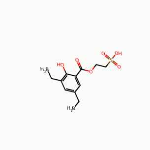 BCc1cc(CB)c(O)c(C(=O)OCCS(=O)(=O)O)c1